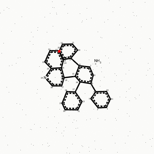 N.c1ccc(-c2ccc(-c3ccccc3)c(-c3ccnc4ccccc34)c2-c2ccccc2)cc1